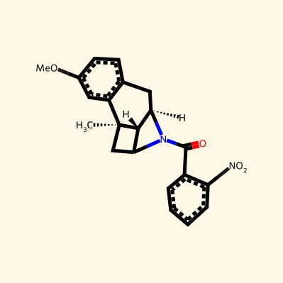 COc1ccc2c(c1)[C@]1(C)CC3[C@H]1[C@@H](C2)N3C(=O)c1ccccc1[N+](=O)[O-]